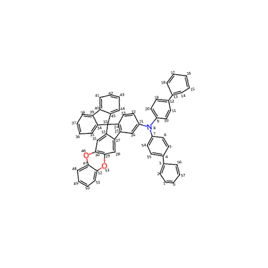 c1ccc(-c2ccc(N(c3ccc(-c4ccccc4)cc3)c3ccc4c(c3)-c3cc5c(cc3C43c4ccccc4-c4ccccc43)Oc3ccccc3O5)cc2)cc1